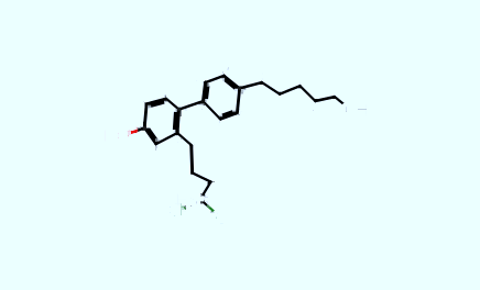 CCCCCCc1ccc(-c2ccc(O)cc2CCC[SiH](Cl)Cl)cc1